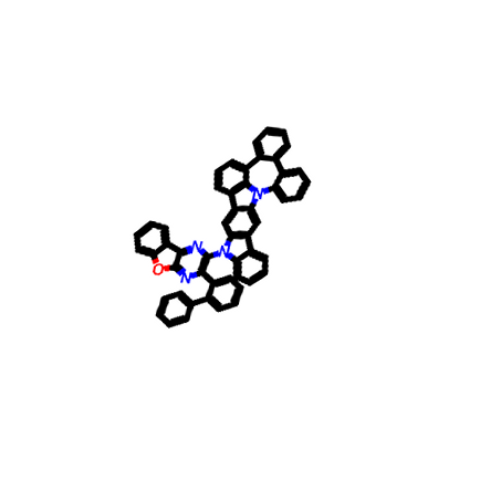 c1ccc(-c2ccccc2-c2nc3oc4ccccc4c3nc2-n2c3ccccc3c3cc4c(cc32)c2cccc3c2n4-c2ccccc2-c2ccccc2-3)cc1